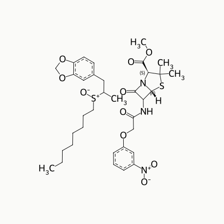 CCCCCCCC[S+]([O-])C(C)Cc1ccc2c(c1)OCO2.COC(=O)[C@@H]1N2C(=O)C(NC(=O)COc3cccc([N+](=O)[O-])c3)[C@H]2SC1(C)C